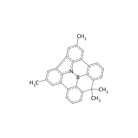 Cc1cc2c3c(c1)c1cc(C)cc4c1n3B1c3c-2cccc3C(C)(C)c2cccc-4c21